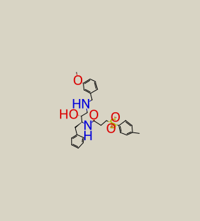 COc1cccc(CNC[C@@H](O)[C@H](Cc2ccccc2)NC(=O)CCS(=O)(=O)c2ccc(C)cc2)c1